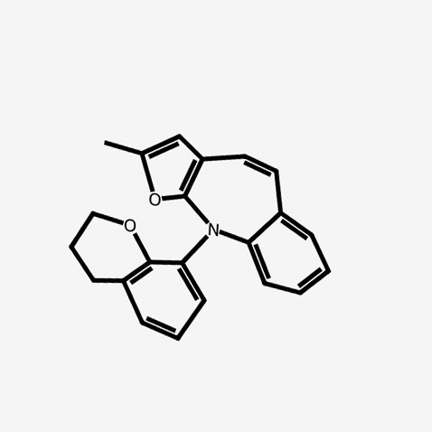 Cc1cc2c(o1)N(c1cccc3c1OCCC3)c1ccccc1C=C2